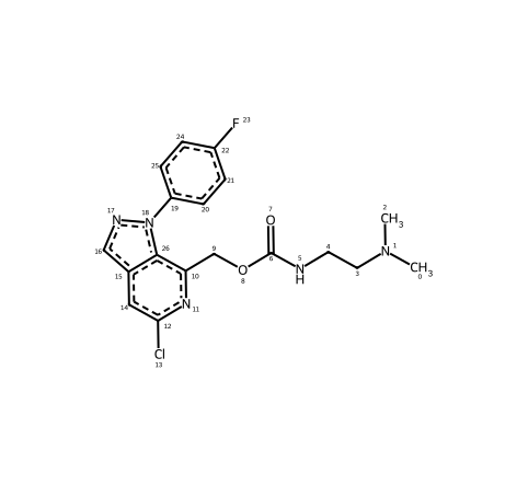 CN(C)CCNC(=O)OCc1nc(Cl)cc2cnn(-c3ccc(F)cc3)c12